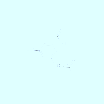 CC(=O)O.CC(=O)O.Oc1cccc(O)c1